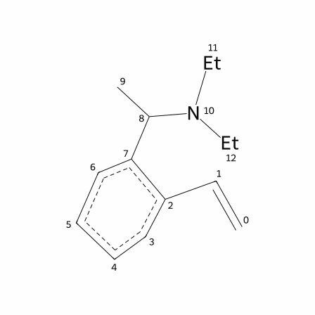 C=Cc1ccccc1C(C)N(CC)CC